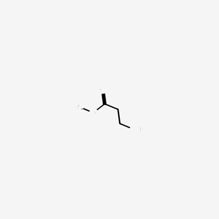 O=CCCC(=O)ON=O